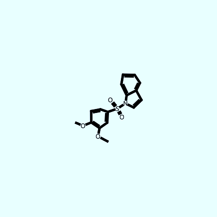 COc1ccc(S(=O)(=O)n2ccc3ccccc32)cc1OC